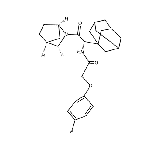 C[C@@H]1[C@H]2CC[C@H](C2)N1C(=O)[C@@H](NC(=O)COc1ccc(F)cc1)C12CC3CC(CC(C3)C1)C2